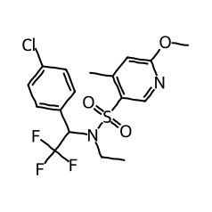 CCN(C(c1ccc(Cl)cc1)C(F)(F)F)S(=O)(=O)c1cnc(OC)cc1C